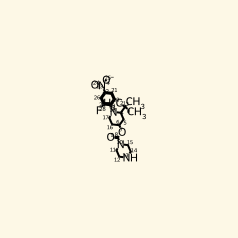 CC(C)(C)C1CC(OC(=O)N2CCNCC2)CCN1c1ccc([N+](=O)[O-])cc1F